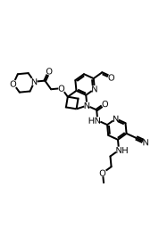 COCCNc1cc(NC(=O)N2c3nc(C=O)ccc3C3(OCC(=O)N4CCOCC4)CC2C3)ncc1C#N